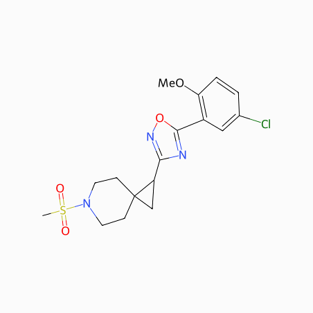 COc1ccc(Cl)cc1-c1nc(C2CC23CCN(S(C)(=O)=O)CC3)no1